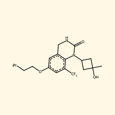 CC(C)CCOc1cc2c(c(C(F)(F)F)c1)N(C1CC(C)(O)C1)C(=O)NC2